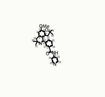 COc1cc2c(c3c1OC(C)(C)C3)C(c1cccc(C(=O)Nc3ccncc3)c1)=NC(C)(C)C2